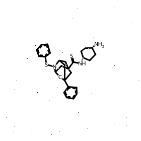 N[C@H]1CC[C@H](NC(=S)C23CC4CC(c5ccccc5)(CC(C2)N4Sc2ccccc2)C3)CC1